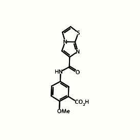 COc1ccc(NC(=O)c2cn3ccsc3n2)cc1C(=O)O